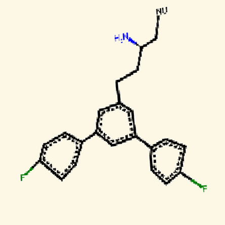 N[C@H](CCc1cc(-c2ccc(F)cc2)cc(-c2ccc(F)cc2)c1)CN=O